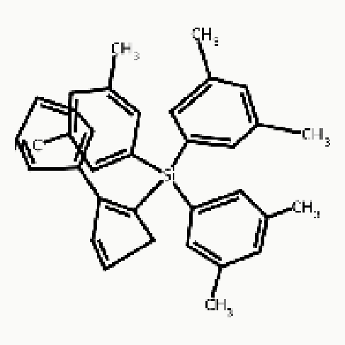 Cc1cc(C)cc([Si](C2=C(c3ccccc3)C=CC2)(c2cc(C)cc(C)c2)c2cc(C)cc(C)c2)c1